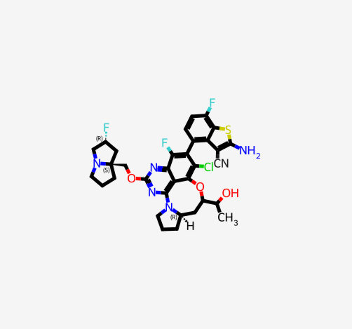 CC(O)C1C[C@H]2CCCN2c2nc(OC[C@@]34CCCN3C[C@H](F)C4)nc3c(F)c(-c4ccc(F)c5sc(N)c(C#N)c45)c(Cl)c(c23)O1